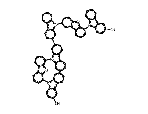 N#Cc1ccc2c(c1)c1ccccc1n2-c1cccc2c1oc1ccc(-n3c4ccccc4c4ccc(-c5ccc6c7ccccc7n(-c7cccc8c7oc7c(-n9c%10ccccc%10c%10cc(C#N)ccc%109)cccc78)c6c5)cc43)cc12